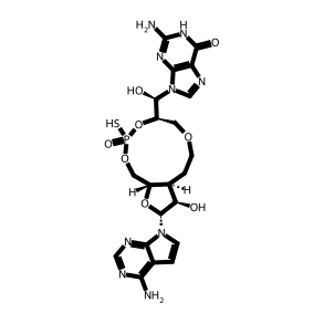 Nc1nc2c(ncn2[C@H](O)[C@H]2COCC[C@H]3[C@@H](O)[C@H](n4ccc5c(N)ncnc54)O[C@@H]3COP(=O)(S)O2)c(=O)[nH]1